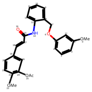 COc1cccc(OCc2ccccc2NC(=O)/C=C/c2ccc(OC)c(OC(C)=O)c2)c1